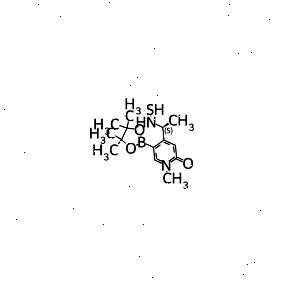 C[C@H](NS)c1cc(=O)n(C)cc1B1OC(C)(C)C(C)(C)O1